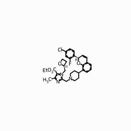 CCOC(=O)c1c(C)nc(CN2CCC(c3cccc4c3O[C@@H](c3ccc(Cl)cc3F)C=C4)CC2)n1C[C@@H]1CCO1